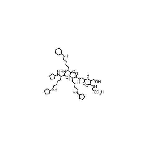 O=C(O)CNC(=O)C(CO)NC(=O)CNC(=O)C(CCCCNC1CCCC1)NC(=O)C(CCCCNC1CCCCC1)NC(=O)C(CCCCNC1CCCC1)NC1CCCC1